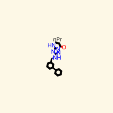 CCCc1cc(=O)n2nc(NCc3cccc(-c4ccccc4)c3)nc2[nH]1